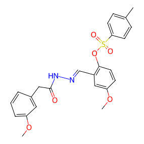 COc1cccc(CC(=O)NN=Cc2cc(OC)ccc2OS(=O)(=O)c2ccc(C)cc2)c1